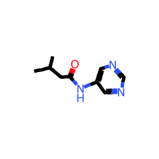 CC(C)CC(=O)Nc1cncnc1